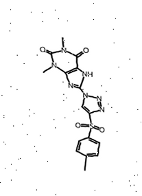 Cc1ccc(S(=O)(=O)c2cn(-c3nc4c([nH]3)c(=O)n(C)c(=O)n4C)nn2)cc1